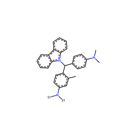 CCN(CC)c1ccc(C(c2ccc(N(C)C)cc2)n2c3ccccc3c3ccccc32)c(C)c1